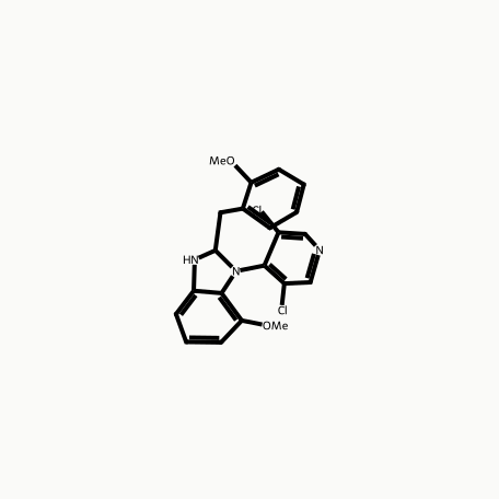 COc1ccccc1CC1Nc2cccc(OC)c2N1c1c(Cl)cncc1Cl